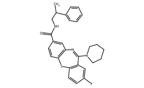 CC(CNC(=O)c1ccc2c(c1)N=C(N1CCCCC1)c1cc(F)ccc1S2)c1ccccc1